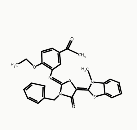 CCOc1ccc(C(C)=O)cc1N=C1SC(=C2Sc3ccccc3N2C)C(=O)N1Cc1ccccc1